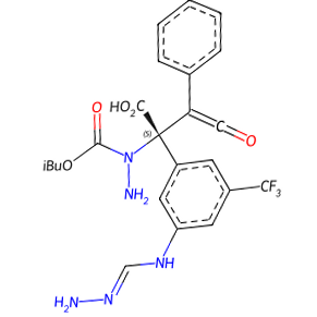 CC(C)COC(=O)N(N)[C@](C(=O)O)(C(=C=O)c1ccccc1)c1cc(NC=NN)cc(C(F)(F)F)c1